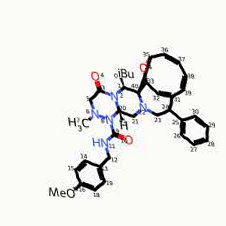 CCC(C)[C@@H]1N2C(=O)CN(C)N(C(=O)NCc3ccc(OC)cc3)[C@H]2CN2CC(c3ccccc3)C3=CC4OC(/C=C\C=C/3)C412